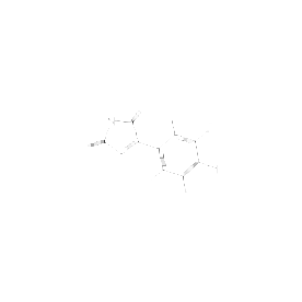 O=C1C=C(c2c(F)c(F)c(F)c(F)c2F)C(=O)N1